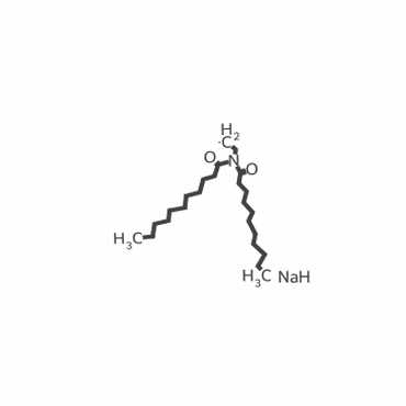 [CH2]CN(C(=O)CCCCCCCCCC)C(=O)CCCCCCCCCC.[NaH]